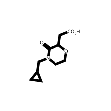 O=C(O)CC1OCCN(CC2CC2)C1=O